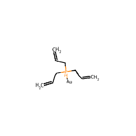 C=CC[PH]([Au])(CC=C)CC=C